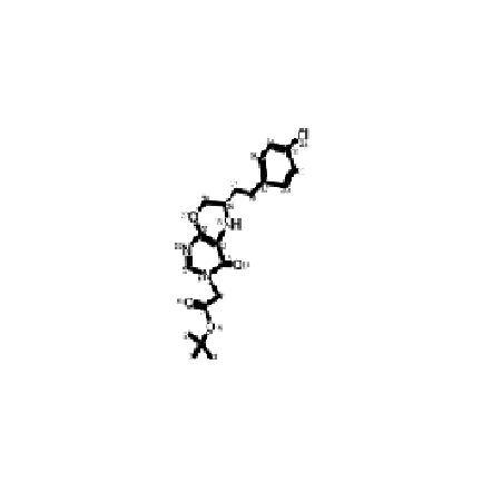 CC(C)(C)OC(=O)Cn1cnc2c(c1=O)N[C@H](CCc1ccc(Cl)cc1)CO2